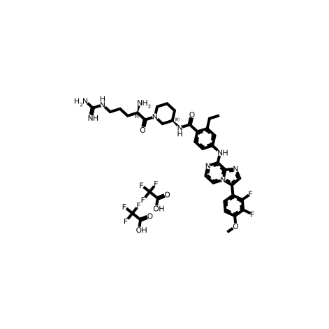 CCc1cc(Nc2nccn3c(-c4ccc(OC)c(F)c4F)cnc23)ccc1C(=O)N[C@@H]1CCCN(C(=O)[C@H](N)CCCNC(=N)N)C1.O=C(O)C(F)(F)F.O=C(O)C(F)(F)F